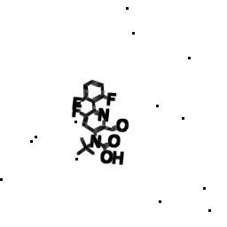 CC(C)(C)N(C(=O)O)c1cc(F)c(-c2c(F)cccc2F)nc1C=O